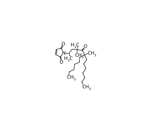 CCCCCCCC(C)(CCCCCC)C(=O)C(C)(C)CC(C)N1C(=O)C=CC1=O